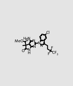 COC(=O)C1(C)C(=O)Nc2nc(-n3nc(CCC(F)(F)C(F)(F)F)c4cc(Cl)ccc43)nc(N)c21